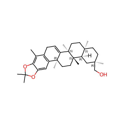 Cc1c2c(cc3c1OC(C)(C)O3)[C@]1(C)CC[C@@]3(C)[C@@H]4C[C@](C)(CO)CC[C@]4(C)CC[C@]3(C)C1=CC2